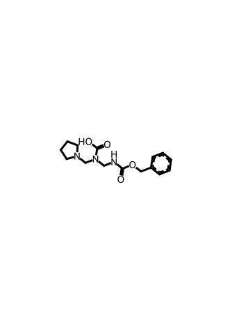 O=C(NCN(CN1CCCC1)C(=O)O)OCc1ccccc1